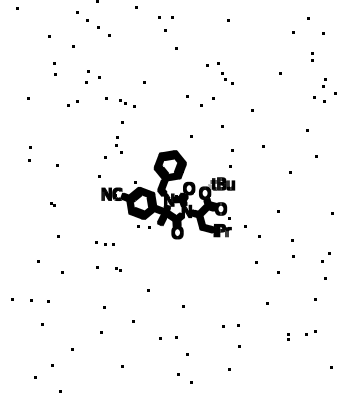 CC(C)CC(C(=O)OC(C)(C)C)N1C(=O)N(Cc2ccccc2)C(C)(c2ccc(C#N)cc2)C1=O